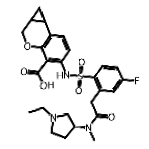 CCN1CC[C@H](N(C)C(=O)Cc2cc(F)ccc2S(=O)(=O)Nc2ccc3c(c2C(=O)O)OCC2CC32)C1